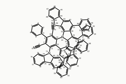 N#Cc1c(-c2ccccc2)c(C#N)c(-n2c3c4sc5ccccc5c4cc(-c4ccccc4)c3c3c(-c4ccccc4)cc4c5ccccc5sc4c32)c(-c2cc(-c3ccccc3)cc(-c3ccccc3)c2)c1-n1c2ccccc2c2ccccc21